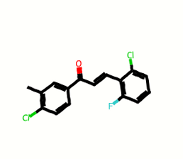 Cc1cc(C(=O)C=Cc2c(F)cccc2Cl)ccc1Cl